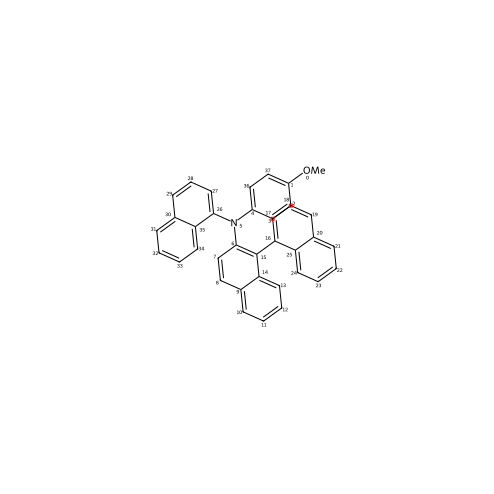 COc1ccc(N(c2ccc3ccccc3c2-c2cccc3ccccc23)c2cccc3ccccc23)cc1